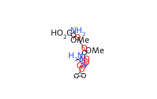 C=C1C[C@@H](C2OCCN2C(=O)OCC2c3ccccc3-c3ccccc32)N(C(=O)c2cc(OC)c(OCCCCCOc3cc(N)c(C(=O)O)cc3OC)cc2N)C1